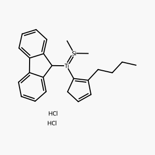 CCCCC1=[C]([Ti]([CH]2c3ccccc3-c3ccccc32)=[Si](C)C)CC=C1.Cl.Cl